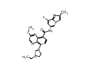 CC[C@@H]1CCN(c2ccc(C(=O)Nc3cc(F)c4nc(C)cn4c3)c3nc(OC)cnc23)C1